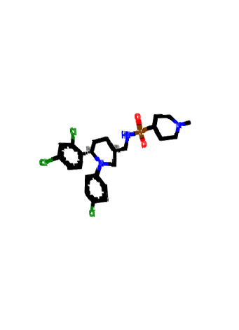 CN1CCC(S(=O)(=O)NC[C@@H]2CC[C@@H](c3ccc(Cl)cc3Cl)N(c3ccc(Cl)cc3)C2)CC1